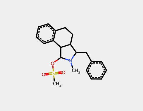 CN1C(Cc2ccccc2)C2CCc3ccccc3C2C1OS(C)(=O)=O